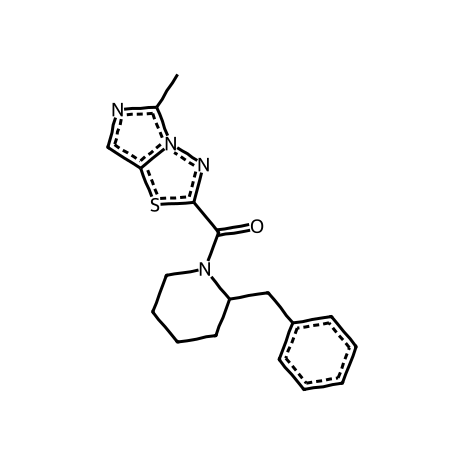 Cc1ncc2sc(C(=O)N3CCCCC3Cc3ccccc3)nn12